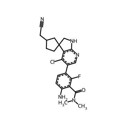 CN(C)C(=O)c1c(N)ccc(-c2cnc3c(c2Cl)C2(CCC(CC#N)C2)CN3)c1F